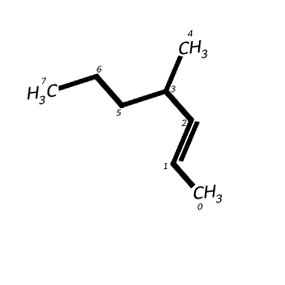 C/C=C/C(C)CCC